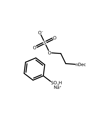 CCCCCCCCCCCCOS(=O)(=O)[O-].O=S(=O)(O)c1ccccc1.[Na+]